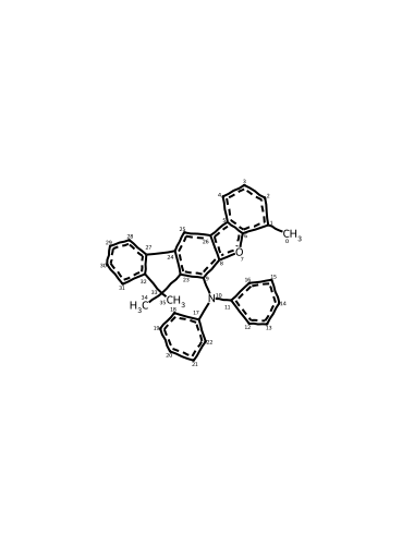 Cc1cccc2c1oc1c(N(c3ccccc3)c3ccccc3)c3c(cc12)-c1ccccc1C3(C)C